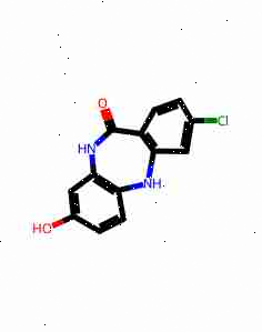 O=C1Nc2cc(O)ccc2Nc2cc(Cl)ccc21